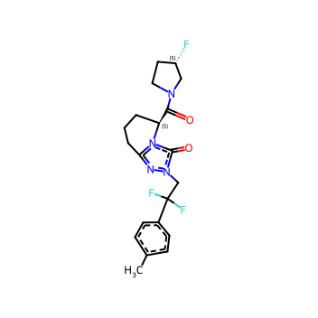 Cc1ccc(C(F)(F)Cn2nc3n(c2=O)[C@H](C(=O)N2CC[C@H](F)C2)CCC3)cc1